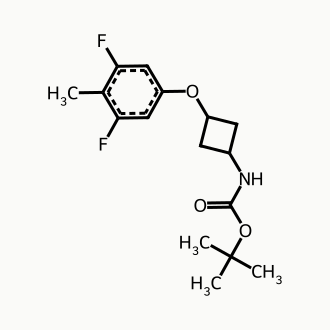 Cc1c(F)cc(OC2CC(NC(=O)OC(C)(C)C)C2)cc1F